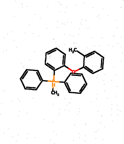 Cc1ccccc1Oc1ccccc1[PH](C)(c1ccccc1)c1ccccc1